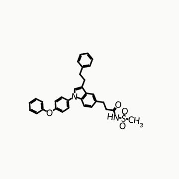 CS(=O)(=O)NC(=O)CCc1ccc2c(c1)c(CCc1ccccc1)cn2-c1ccc(Oc2ccccc2)cc1